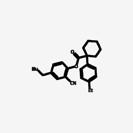 CCc1ccc(C2(C(=O)Oc3ccc(CC(C)CC)cc3C#N)CCCCC2)cc1